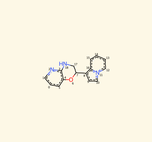 c1cnc2c(c1)OC(c1ccn3ccccc13)CN2